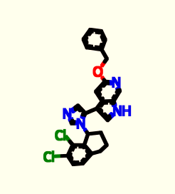 Clc1ccc2c(c1Cl)C(n1cncc1-c1c[nH]c3cnc(OCc4ccccc4)cc13)CCC2